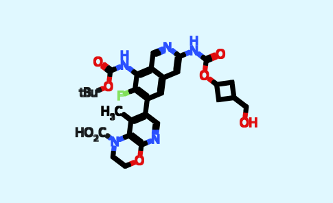 Cc1c(-c2cc3cc(NC(=O)OC4CC(CO)C4)ncc3c(NC(=O)OC(C)(C)C)c2F)cnc2c1N(C(=O)O)CCO2